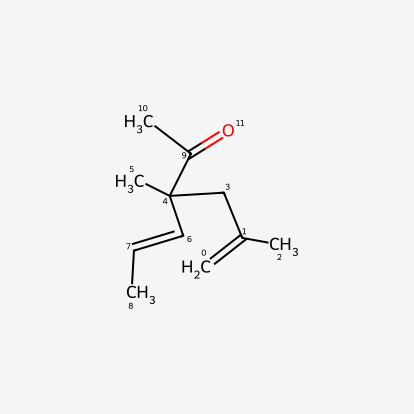 C=C(C)CC(C)(/C=C/C)C(C)=O